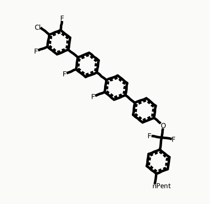 CCCCCc1ccc(C(F)(F)Oc2ccc(-c3ccc(-c4ccc(-c5cc(F)c(Cl)c(F)c5)c(F)c4)c(F)c3)cc2)cc1